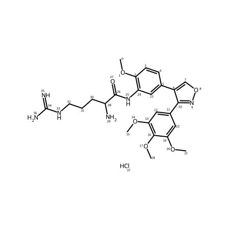 COc1ccc(-c2conc2-c2cc(OC)c(OC)c(OC)c2)cc1NC(=O)C(N)CCCNC(=N)N.Cl